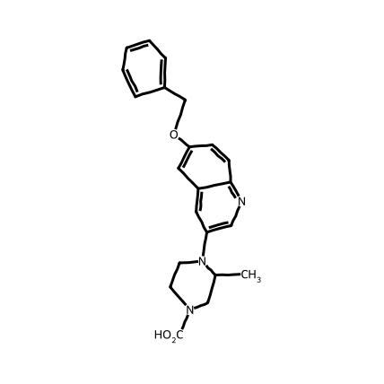 CC1CN(C(=O)O)CCN1c1cnc2ccc(OCc3ccccc3)cc2c1